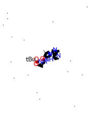 Cc1ncc(N2C[C@@H](C)C[C@@H](NC(=O)CC3(NC(=O)OC(C)(C)C)CC3)C2)c2cccnc12